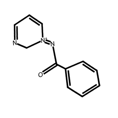 O=C(N=[N+]1C=CC=NC1)c1ccccc1